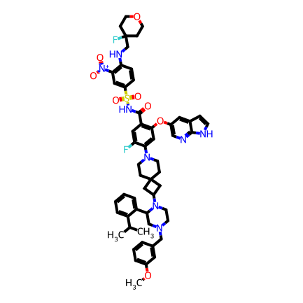 COc1cccc(CN2CCN(C3CC4(CCN(c5cc(Oc6cnc7[nH]ccc7c6)c(C(=O)NS(=O)(=O)c6ccc(NCC7(F)CCOCC7)c([N+](=O)[O-])c6)cc5F)CC4)C3)C(c3ccccc3C(C)C)C2)c1